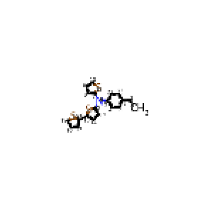 C=Cc1ccc(N(c2cccs2)c2ccc(-c3cccs3)s2)cc1